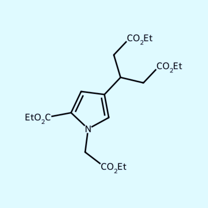 CCOC(=O)CC(CC(=O)OCC)c1cc(C(=O)OCC)n(CC(=O)OCC)c1